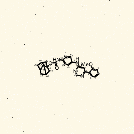 COc1ccccc1-c1cc(Nc2ccc(NC(=O)OC34CC5CC(CC(C5)C3)C4)cc2)ncn1